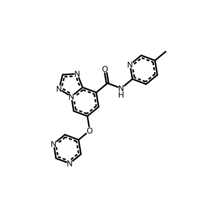 Cc1ccc(NC(=O)c2cc(Oc3cncnc3)cn3ncnc23)nc1